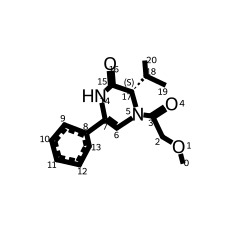 COCC(=O)N1C=C(c2ccccc2)NC(=O)[C@@H]1C(C)C